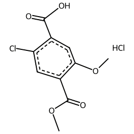 COC(=O)c1cc(Cl)c(C(=O)O)cc1OC.Cl